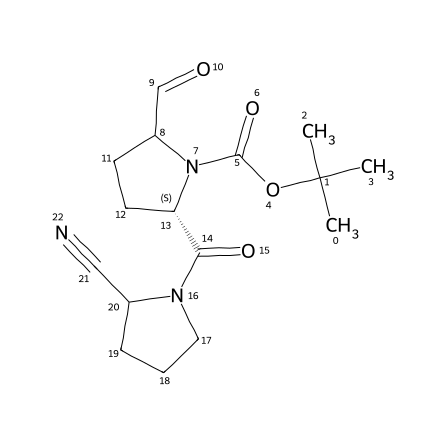 CC(C)(C)OC(=O)N1C(C=O)CC[C@H]1C(=O)N1CCCC1C#N